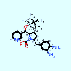 CC(C)(C)[Si](C)(C)OC(c1cccnc1)[C@H]1CC[C@@H](Cc2ccc(N)c(N)c2)N1C(=O)O